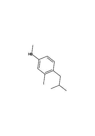 CBc1ccc(CC(C)C)c(I)c1